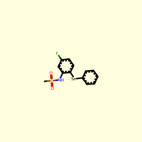 CS(=O)(=O)Nc1cc(F)ccc1[Se]c1ccccc1